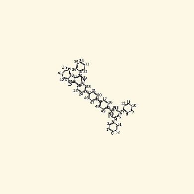 c1ccc(-c2cc(-c3ccccc3)nc(-c3ccc(-c4ccc(-c5ccc6c(c5)nc(-c5ccccc5)c5c7ccccc7sc65)cc4)cc3)n2)cc1